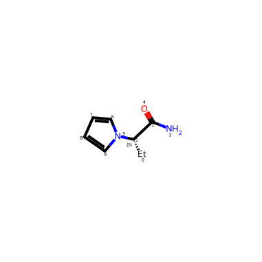 CC[C@@H](C(N)=O)n1cccc1